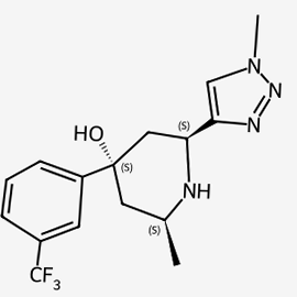 C[C@H]1C[C@@](O)(c2cccc(C(F)(F)F)c2)C[C@@H](c2cn(C)nn2)N1